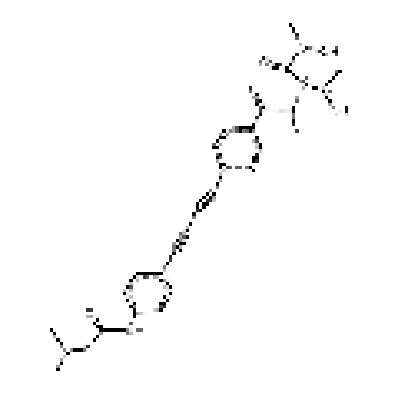 C[C@@H](O)[C@@H](C(=O)N(C)O)N(C)C(=O)c1ccc(C#CC#Cc2ccc(NC(=O)CN(C)C)cc2)cc1